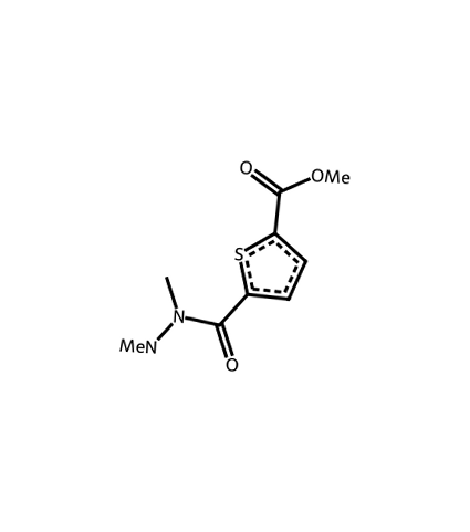 CNN(C)C(=O)c1ccc(C(=O)OC)s1